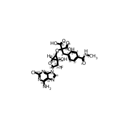 CNC(=O)c1ccc(CC(OC2[C@H]3O[C@@H](n4cnc5c(N)nc(Cl)nc54)[C@@H](F)[C@@]23O)(C(=O)O)C(=O)O)cc1